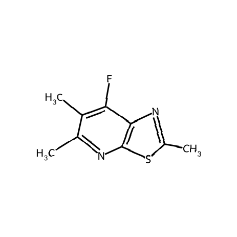 Cc1nc2c(F)c(C)c(C)nc2s1